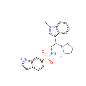 C[C@H]1CCCN1C(CNS(=O)(=O)c1ccc2cc[nH]c2c1)c1cn(C)c2ccccc12